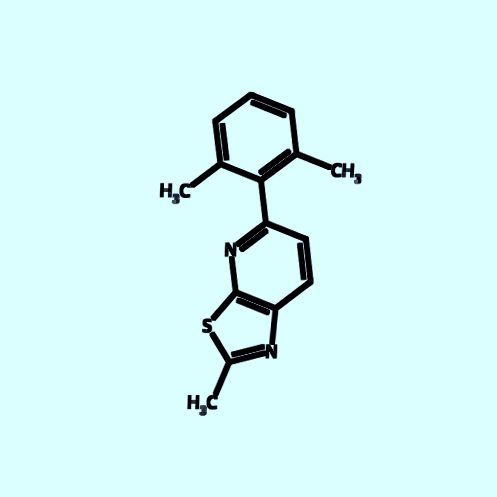 Cc1nc2ccc(-c3c(C)cccc3C)nc2s1